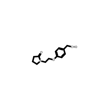 O=CCc1ccc(OCCN2CCCC2=O)cc1